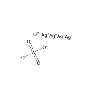 [Ag+].[Ag+].[Ag+].[Ag+].[O-2].[O]=[W](=[O])([O-])[O-]